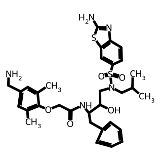 Cc1cc(CN)cc(C)c1OCC(=O)NC(Cc1ccccc1)C(O)CN(CC(C)C)S(=O)(=O)c1ccc2nc(N)sc2c1